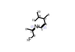 C/C(CF)=N/C=C\C(C)C(C)C